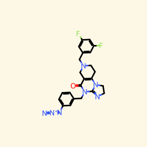 [N-]=[N+]=Nc1cccc(CN2C(=O)C3=C(CCN(Cc4cc(F)cc(F)c4)C3)N3CCN=C23)c1